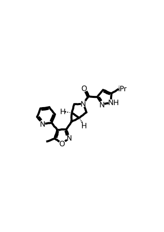 Cc1onc(C2[C@H]3CN(C(=O)c4cc(C(C)C)[nH]n4)C[C@@H]23)c1-c1ccccn1